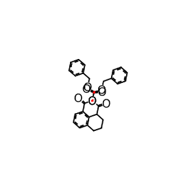 O=C(OCc1ccccc1)OC(=O)c1cccc2c1C(C(=O)OC(=O)OCc1ccccc1)CCC2